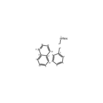 CCCCCCC.Cc1ccccc1.c1ccc2ncccc2c1